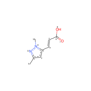 Cc1cc(/C=C/C(=O)O)n(C)n1